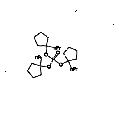 CCCC1(OP(=O)(OC2(CCC)CCCC2)OC2(CCC)CCCC2)CCCC1